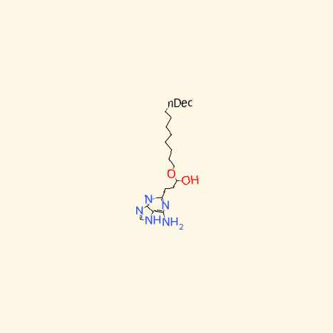 CCCCCCCCCCCCCCCCCCOC(O)CCc1nc(N)c2[nH]cnc2n1